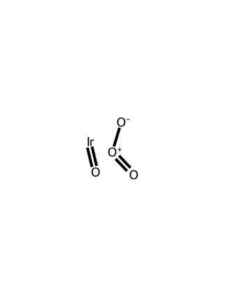 O=[O+][O-].[O]=[Ir]